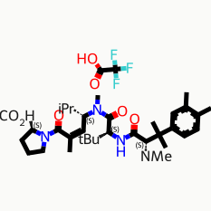 CN[C@H](C(=O)N[C@H](C(=O)N(C)[C@H](C=C(C)C(=O)N1CCC[C@H]1C(=O)O)C(C)C)C(C)(C)C)C(C)(C)c1ccc(C)c(C)c1.O=C(O)C(F)(F)F